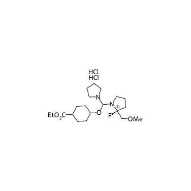 CCOC(=O)C1CCC(OC(N2CCCC2)N2CCC[C@]2(F)COC)CC1.Cl.Cl